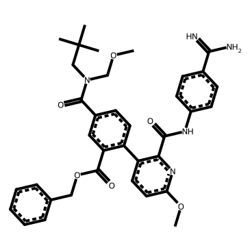 COCN(CC(C)(C)C)C(=O)c1ccc(-c2ccc(OC)nc2C(=O)Nc2ccc(C(=N)N)cc2)c(C(=O)OCc2ccccc2)c1